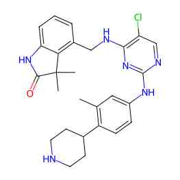 Cc1cc(Nc2ncc(Cl)c(NCc3cccc4c3C(C)(C)C(=O)N4)n2)ccc1C1CCNCC1